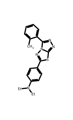 CCN(CC)c1ccc(-c2nn3c(-c4ccccc4C)nnc3s2)cc1